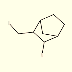 ICC1C2CCC(C2)C1I